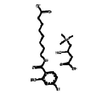 C[N+](C)(C)CC(O)CC(=O)O.O=C([O-])CCCCCCCNC(=O)c1ccc(Cl)cc1O